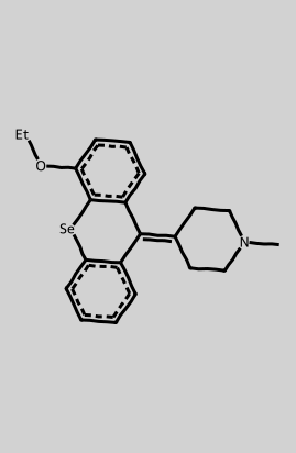 CCOc1cccc2c1[Se]c1ccccc1C2=C1CCN(C)CC1